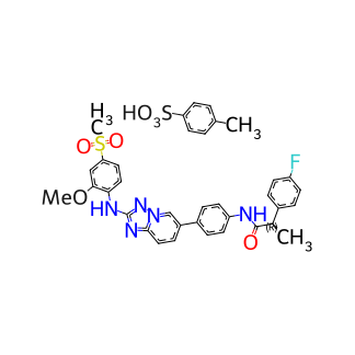 COc1cc(S(C)(=O)=O)ccc1Nc1nc2ccc(-c3ccc(NC(=O)[C@H](C)c4ccc(F)cc4)cc3)cn2n1.Cc1ccc(S(=O)(=O)O)cc1